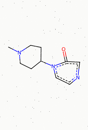 CN1CCC(n2ccncc2=O)CC1